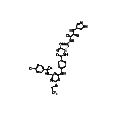 COC(=O)[C@H](CCNC(=O)C(=O)Nc1cn[nH]c1)NC(=O)c1ccc(Nc2nc(NC3(c4ccc(Cl)cc4)CC3)nc(OCC(F)(F)F)n2)cc1